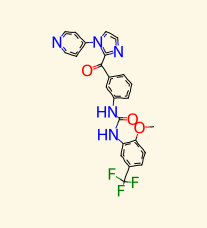 COc1ccc(C(F)(F)F)cc1NC(=O)Nc1cccc(C(=O)c2nccn2-c2ccncc2)c1